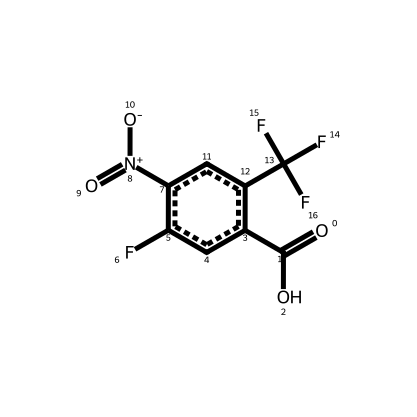 O=C(O)c1cc(F)c([N+](=O)[O-])cc1C(F)(F)F